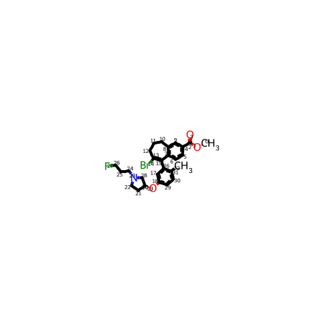 COC(=O)c1ccc2c(c1)CCCC(Br)=C2c1cc(O[C@@H]2CCN(CCCF)C2)ccc1C